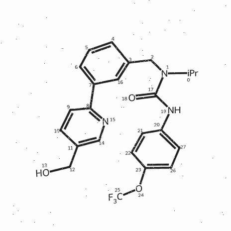 CC(C)N(Cc1cccc(-c2ccc(CO)cn2)c1)C(=O)Nc1ccc(OC(F)(F)F)cc1